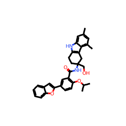 Cc1cc(C)c2c3c([nH]c2c1)CCC(CO)(NC(=O)c1cc(-c2cc4ccccc4o2)ccc1OC(C)C)C3